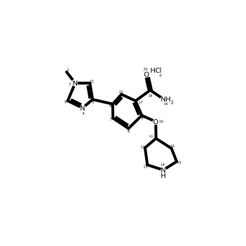 Cl.Cn1cnc(-c2ccc(OC3CCNCC3)c(C(N)=O)c2)c1